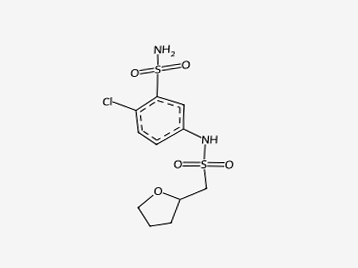 NS(=O)(=O)c1cc(NS(=O)(=O)CC2CCCO2)ccc1Cl